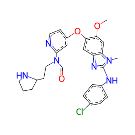 COc1cc2c(cc1Oc1ccnc(N(C=O)CCC3CCCN3)c1)nc(Nc1ccc(Cl)cc1)n2C